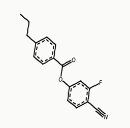 CCCc1ccc(C(=O)Oc2ccc(C#N)c(F)c2)cc1